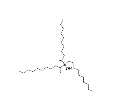 CCCCCCCCCC(C)[Si](O)(C(C)CCCCCCCCC)C(C)CCCCCCCCC